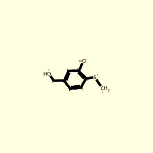 CSc1ccc([CH]O)cc1Cl